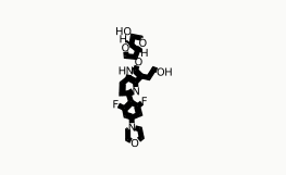 OCCc1c(O[C@@H]2CO[C@H]3[C@@H]2OC[C@H]3O)[nH]c2ccc(-c3c(F)cc(N4CCOCC4)cc3F)nc12